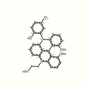 CCCCCCCCCCCC[n+]1c2cccc(OC)c2c2c3c(cccc31)N(c1cc(C(F)(F)F)ccc1O)c1cccc(OC)c1-2